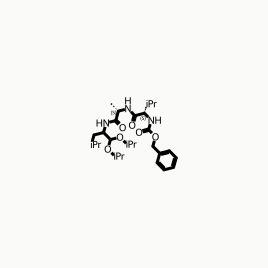 CC(C)CC(NC(=O)[C@H](C)NC(=O)[C@@H](NC(=O)OCc1ccccc1)C(C)C)C(OC(C)C)OC(C)C